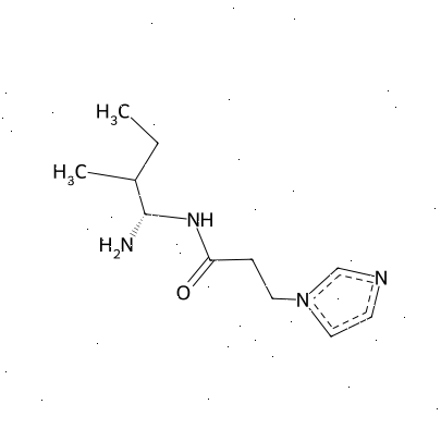 CCC(C)[C@@H](N)NC(=O)CCn1ccnc1